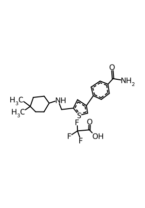 CC1(C)CCC(NCc2cc(-c3ccc(C(N)=O)cc3)cs2)CC1.O=C(O)C(F)(F)F